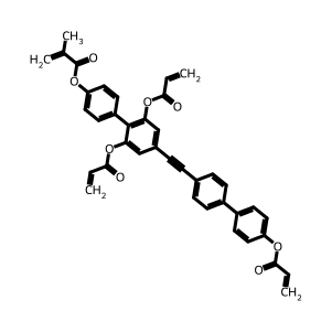 C=CC(=O)Oc1ccc(-c2ccc(C#Cc3cc(OC(=O)C=C)c(-c4ccc(OC(=O)C(=C)C)cc4)c(OC(=O)C=C)c3)cc2)cc1